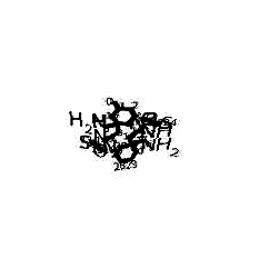 CC1CCCC(CN)(Cc2noc(=S)[nH]2)C1.NCC1(Cc2noc(=S)[nH]2)CCCCC1